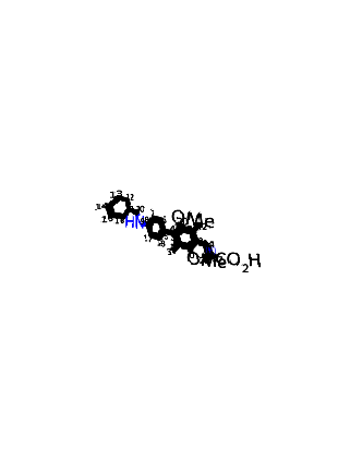 COc1c(C)c(-c2ccc(NCC3CCCCC3)cc2)c(OC)c(C)c1/C=C(\C)C(=O)O